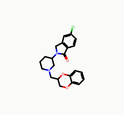 O=C1c2ccc(Cl)cc2CN1C1CCCN(CC2COc3ccccc3O2)C1